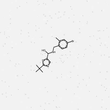 Cc1cc(Br)ccc1CNC(O)c1cnc(C(C)(C)C)s1